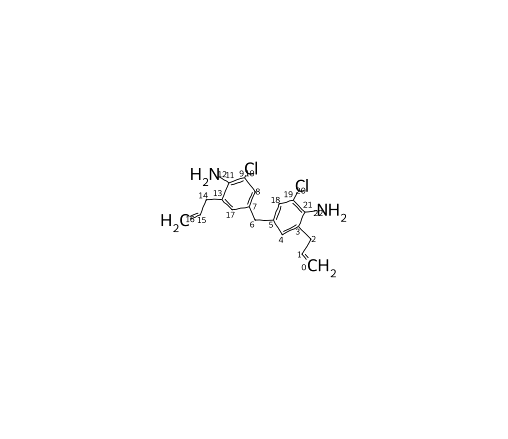 C=CCc1cc(Cc2cc(Cl)c(N)c(CC=C)c2)cc(Cl)c1N